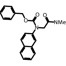 CNC(=O)CN(C(=O)OCc1ccccc1)c1ccc2ccccc2c1